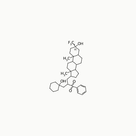 CC12CCC3C(CCC4C[C@](O)(C(F)(F)F)CCC43C)C1CCC2CC(CC1(O)CCCCC1)S(=O)(=O)c1ccccc1